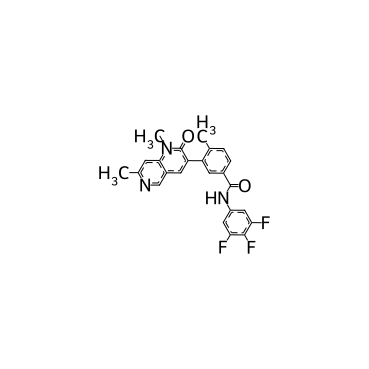 Cc1cc2c(cn1)cc(-c1cc(C(=O)Nc3cc(F)c(F)c(F)c3)ccc1C)c(=O)n2C